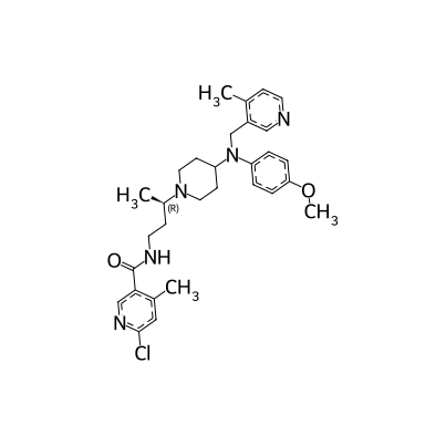 COc1ccc(N(Cc2cnccc2C)C2CCN([C@H](C)CCNC(=O)c3cnc(Cl)cc3C)CC2)cc1